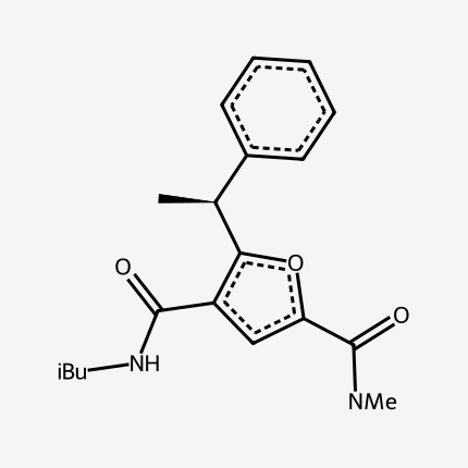 CCC(C)NC(=O)c1cc(C(=O)NC)oc1[C@@H](C)c1ccccc1